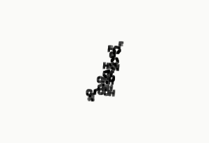 CN(C)C(=O)/C=C/CCC(NC(=O)O)C(=O)Nc1cccn(Cc2nc3ccc(Oc4ccc(F)cc4F)cc3[nH]2)c1=O